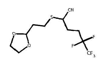 N#CC(CCC(F)(F)C(F)(F)F)SCCC1OCCO1